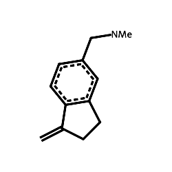 C=C1CCc2cc(CNC)ccc21